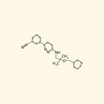 CC(C)(CNc1ccc(-c2cccc(C#N)c2)nn1)OCc1ccccc1